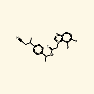 CC(CC#N)c1ccc(C(C)NC(=O)Cn2cnc3ccc(F)c(F)c32)cc1